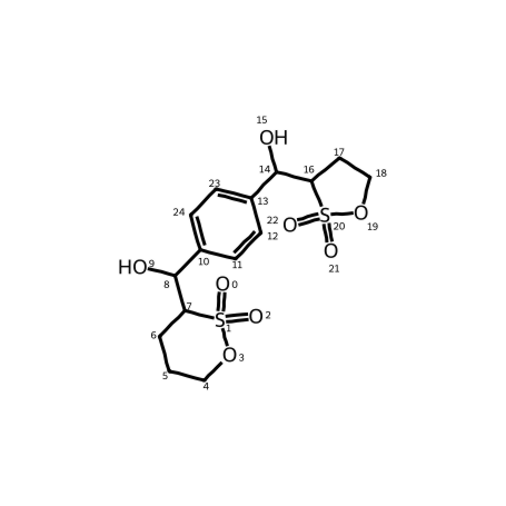 O=S1(=O)OCCCC1C(O)c1ccc(C(O)C2CCOS2(=O)=O)cc1